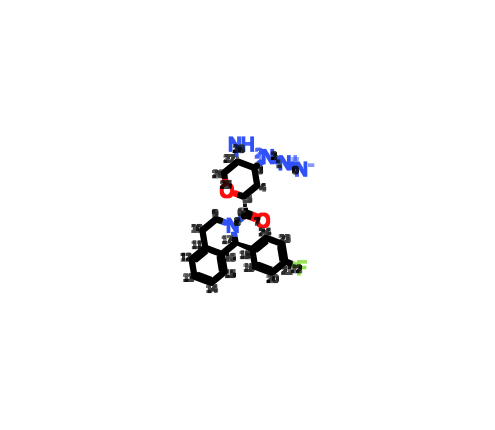 [N-]=[N+]=NC1C[C@H](C(=O)N2CCc3ccccc3[C@@H]2c2ccc(F)cc2)OC[C@@H]1N